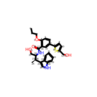 CCCOc1ccc(-c2ccc(CO)s2)cc1C(=O)NC(CO)[C@H](C)c1c[nH]c2ccccc12